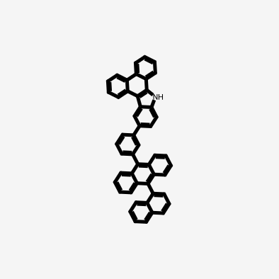 c1cc(-c2ccc3[nH]c4c5ccccc5c5ccccc5c4c3c2)cc(-c2c3ccccc3c(-c3cccc4ccccc34)c3ccccc23)c1